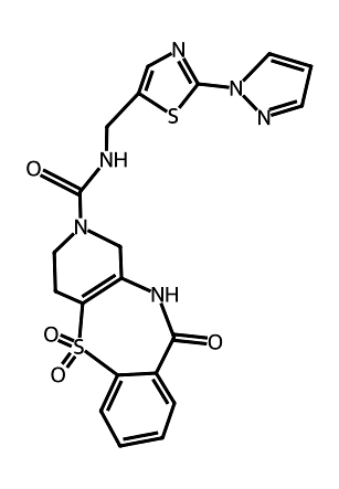 O=C1NC2=C(CCN(C(=O)NCc3cnc(-n4cccn4)s3)C2)S(=O)(=O)c2ccccc21